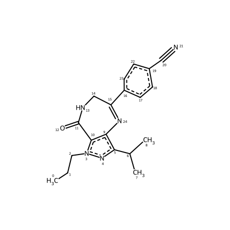 CCCn1nc(C(C)C)c2c1C(=O)NCC(c1ccc(C#N)cc1)=N2